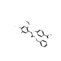 COc1cc(O[C@@H](C)C(=O)O)c([C@@H](Nc2ccc(C(=N)NO)cc2)C(=O)NCc2ccccc2)cc1OC